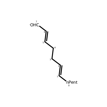 CCCCCC=CCCC=C[C]=O